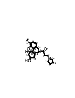 COc1ccc2c3c1O[C@@H]1C[C@H](O)C=C[C@]31CCN(C(=O)CCN1CCCC1)C2